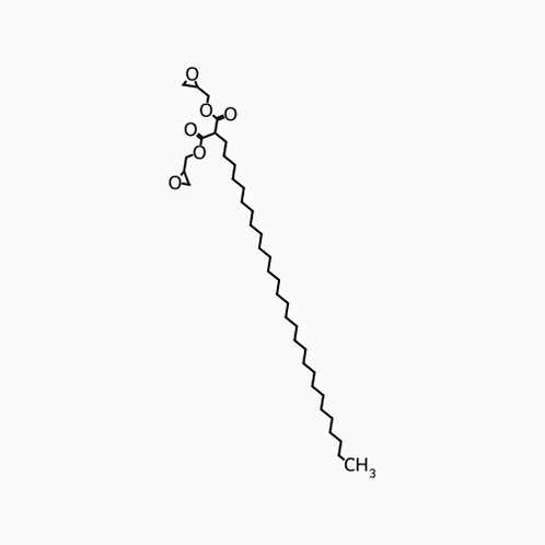 CCCCCCCCCCCCCCCCCCCCCCCCCCCCCC(C(=O)OCC1CO1)C(=O)OCC1CO1